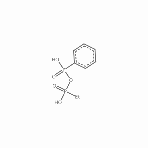 CCP(=O)(O)OP(=O)(O)c1ccccc1